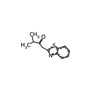 CC(C)C(=O)Cc1nc2ccccc2s1